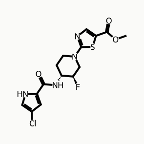 COC(=O)c1cnc(N2CC[C@@H](NC(=O)c3cc(Cl)c[nH]3)[C@H](F)C2)s1